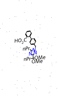 CCCc1nc(C(CCC)(OC)OC)nn1Cc1ccc(-c2ccccc2C(=O)O)cc1